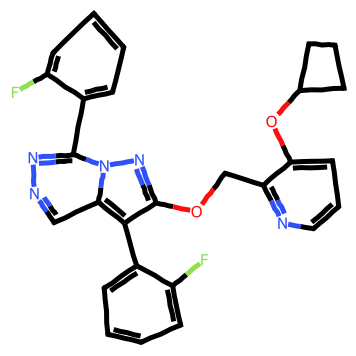 Fc1ccccc1-c1c(OCc2ncccc2OC2CCC2)nn2c(-c3ccccc3F)nncc12